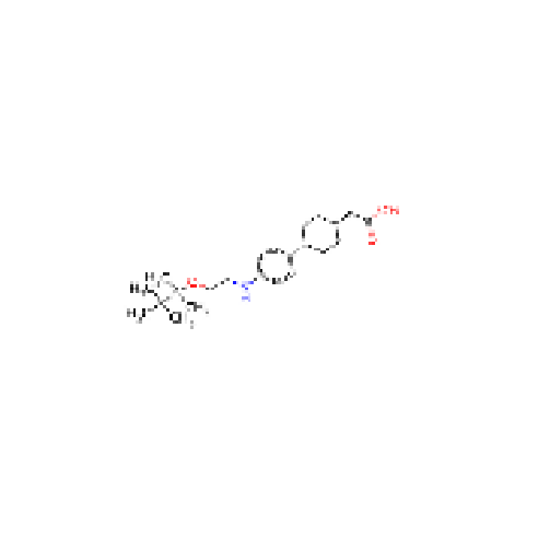 CC(C)(C)[Si](C)(C)OCCNc1ccc([C@H]2CC[C@H](CC(=O)O)CC2)cc1